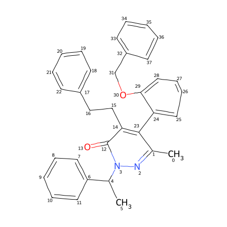 Cc1nn(C(C)c2ccccc2)c(=O)c(CCc2ccccc2)c1-c1ccccc1OCc1ccccc1